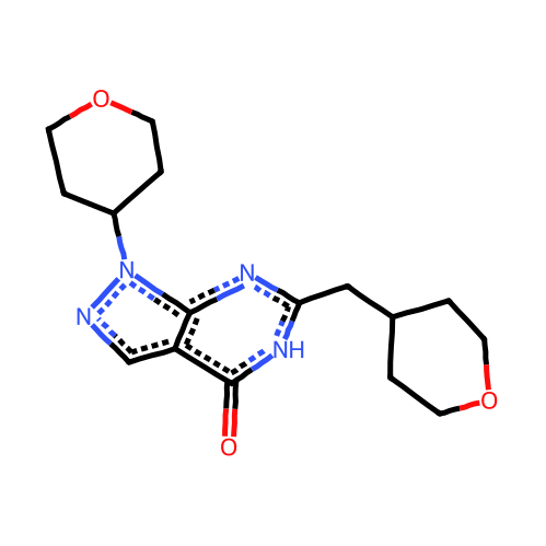 O=c1[nH]c(CC2CCOCC2)nc2c1cnn2C1CCOCC1